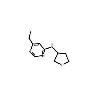 CCc1cc(NC2CCOC2)ncn1